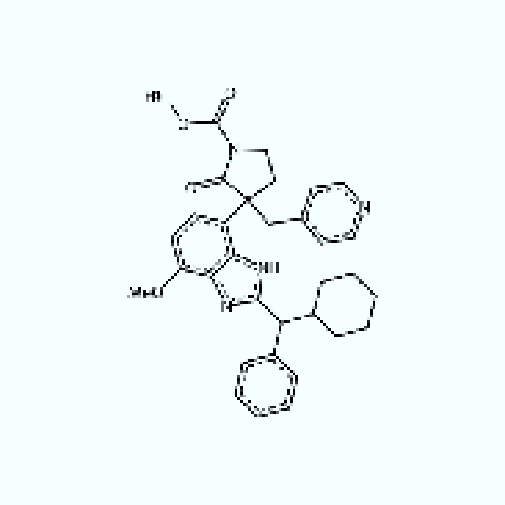 COc1ccc(C2(Cc3ccncc3)CCN(C(=O)OC(C)(C)C)C2=O)c2[nH]c(C(c3ccccc3)C3CCCCC3)nc12